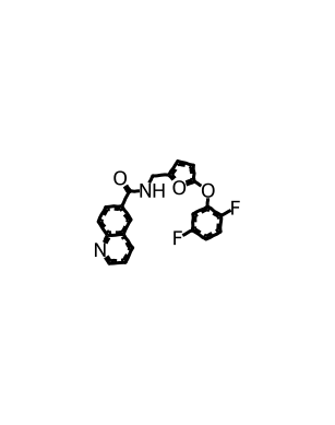 O=C(NCc1ccc(Oc2cc(F)ccc2F)o1)c1ccc2ncccc2c1